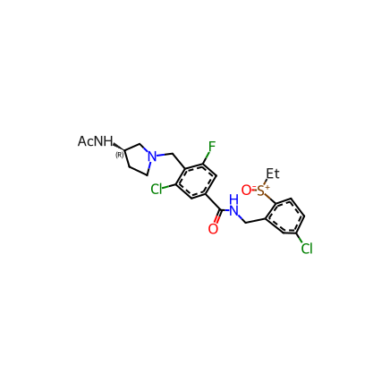 CC[S+]([O-])c1ccc(Cl)cc1CNC(=O)c1cc(F)c(CN2CC[C@@H](NC(C)=O)C2)c(Cl)c1